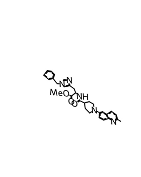 COC(=O)C(Cc1cn(Cc2ccccc2)cn1)NC(=O)C1CCN(c2ccc3nc(C)ccc3c2)CC1